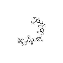 CCc1cc(N2C(=S)N(c3cnc(C#N)c(C(F)(F)F)c3)C(=O)C2(C)C)ccc1OCCN1CC2CC[C@@H]1CN2CC(=O)Nc1cc(Cl)cc(NC2CCC(=O)NC2=O)c1